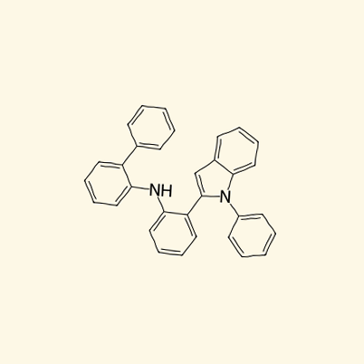 c1ccc(-c2ccccc2Nc2ccccc2-c2cc3ccccc3n2-c2ccccc2)cc1